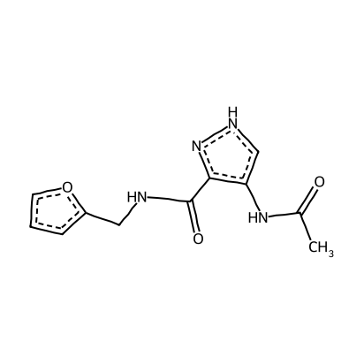 CC(=O)Nc1c[nH]nc1C(=O)NCc1ccco1